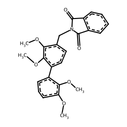 COc1cccc(-c2ccc(CN3C(=O)c4ccccc4C3=O)c(OC)c2OC)c1OC